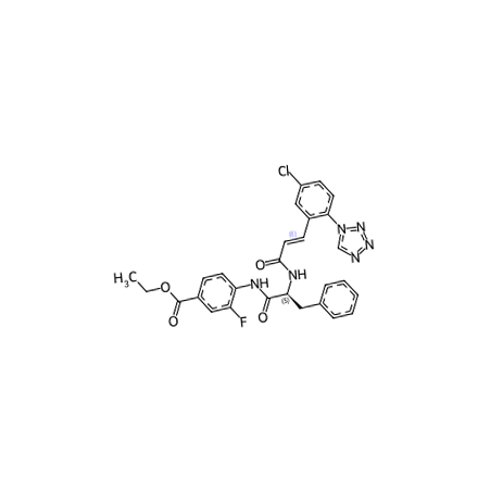 CCOC(=O)c1ccc(NC(=O)[C@H](Cc2ccccc2)NC(=O)/C=C/c2cc(Cl)ccc2-n2cnnn2)c(F)c1